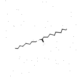 CCCCCCCCCC(=O)OCCCCCCCC.[Co]